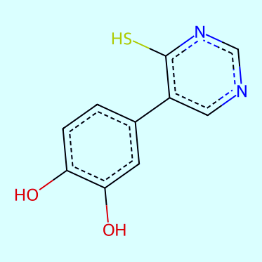 Oc1ccc(-c2cncnc2S)cc1O